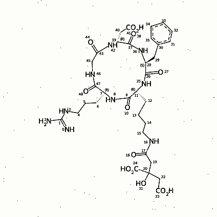 N=C(N)NCCC[C@H]1NC(=O)[C@@H](CCCCNC(=O)CC(O)(CC(=O)O)C(=O)O)NC(=O)[C@H](Cc2ccccc2)NC(=O)[C@@H](CC(=O)O)NC(=O)CNC1=O